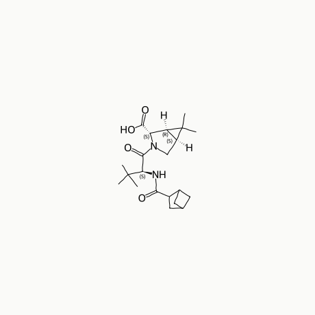 CC(C)(C)[C@H](NC(=O)C1CC2CC1C2)C(=O)N1C[C@H]2[C@@H]([C@H]1C(=O)O)C2(C)C